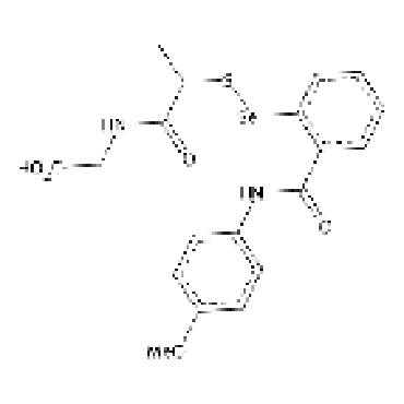 COc1ccc(NC(=O)c2ccccc2[Se]SC(C)C(=O)NCC(=O)O)cc1